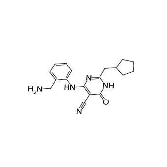 N#Cc1c(Nc2ccccc2CN)nc(CC2CCCC2)[nH]c1=O